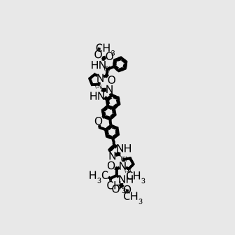 COC(=O)NC(C(=O)N1[C@@H](C)CC[C@H]1c1ncc(-c2ccc3c(c2)COc2cc4c(ccc5nc([C@@H]6CCCN6C(=O)[C@H](NC(=O)OC)c6ccccc6)[nH]c54)cc2-3)[nH]1)C(C)C